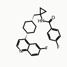 O=C(NC1(C[C@H]2CC[C@@H](c3ccnc4ccc(F)cc43)CC2)CC1)c1ccc(F)cc1